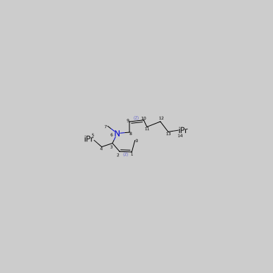 C/C=C\C(CC(C)C)N(C)C/C=C\CCCC(C)C